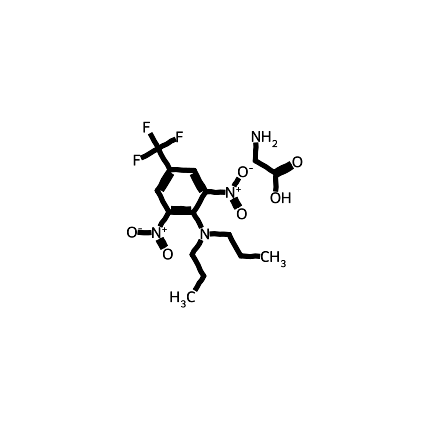 CCCN(CCC)c1c([N+](=O)[O-])cc(C(F)(F)F)cc1[N+](=O)[O-].NCC(=O)O